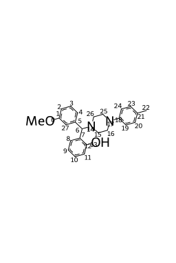 COc1cccc(C(c2ccccc2O)N2CCN(c3ccc(C)cc3)CC2)c1